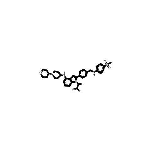 CS(=O)(=O)c1ccc(NCc2ccc(-c3cc4c(NC5CCN(C6CCOCC6)CC5)cccc4n3C(F)C(F)F)cc2)cc1